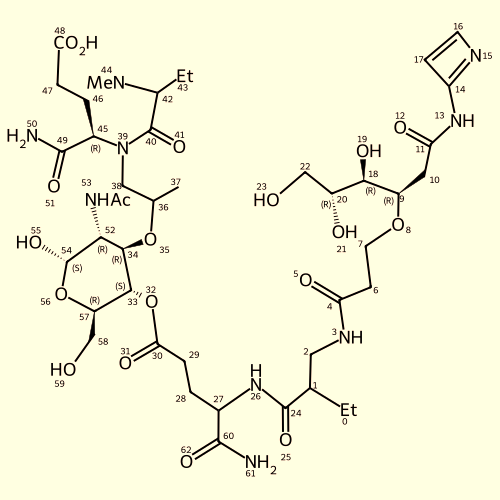 CCC(CNC(=O)CCO[C@H](CC(=O)NC1=NC=C1)[C@H](O)[C@H](O)CO)C(=O)NC(CCC(=O)O[C@H]1[C@H](OC(C)CN(C(=O)C(CC)NC)[C@H](CCC(=O)O)C(N)=O)[C@@H](NC(C)=O)[C@@H](O)O[C@@H]1CO)C(N)=O